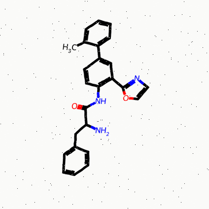 Cc1ccccc1-c1ccc(NC(=O)C(N)Cc2ccccc2)c(-c2ncco2)c1